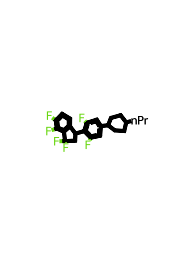 CCCC1CCC(c2cc(F)c(C3CC(F)(F)c4c3ccc(F)c4F)c(F)c2)CC1